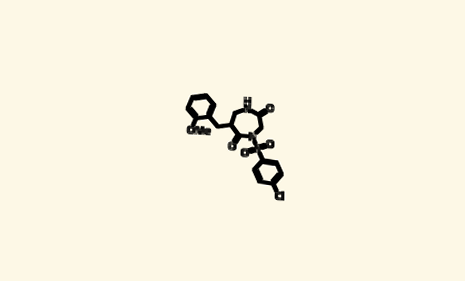 COc1ccccc1CC1CNC(=O)CN(S(=O)(=O)c2ccc(Cl)cc2)C1=O